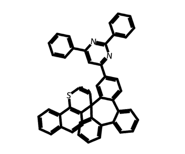 c1ccc(-c2cc(-c3ccc4c(c3)C3(c5ccccc5Sc5c3ccc3ccccc53)c3ccccc3-c3ccccc3-4)nc(-c3ccccc3)n2)cc1